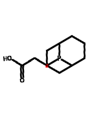 O=C(O)CCP1C2CCCC1CCC2